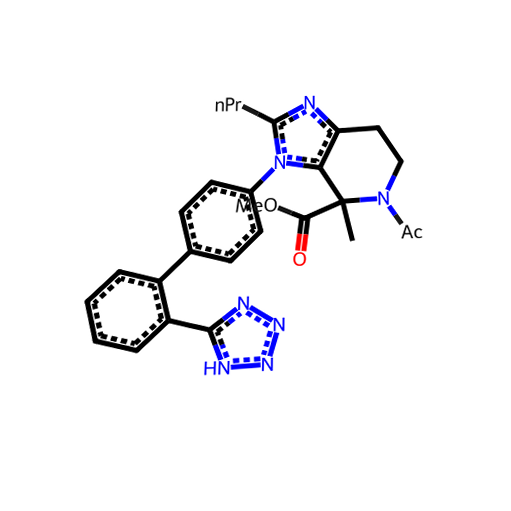 CCCc1nc2c(n1-c1ccc(-c3ccccc3-c3nnn[nH]3)cc1)C(C)(C(=O)OC)N(C(C)=O)CC2